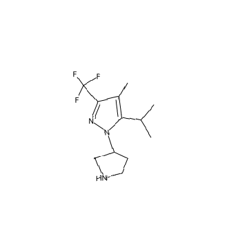 Cc1c(C(F)(F)F)nn(C2CCNC2)c1C(C)C